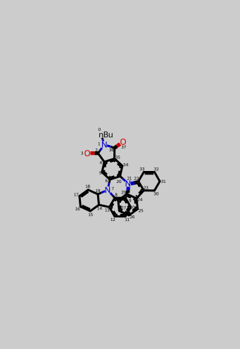 CCCCN1C(=O)c2cc(N3c4ccccc4C4C=CC=CC43)c(-n3c4c(c5ccccc53)CCC=C4)cc2C1=O